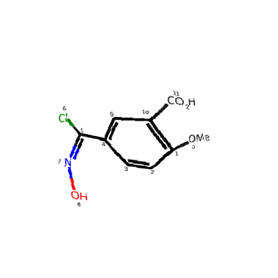 COc1ccc(/C(Cl)=N\O)cc1C(=O)O